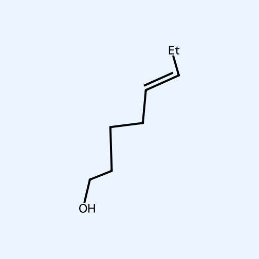 CCC=CCCCCO